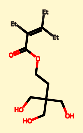 CCC(CC)=C(CC)C(=O)OCCC(CO)(CO)CO